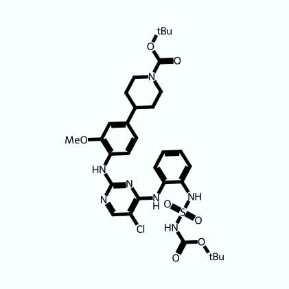 COc1cc(C2CCN(C(=O)OC(C)(C)C)CC2)ccc1Nc1ncc(Cl)c(Nc2ccccc2NS(=O)(=O)NC(=O)OC(C)(C)C)n1